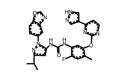 Cc1cc(F)c(NC(=O)Nc2cc(C(C)C)nn2-c2ccc3ocnc3c2)cc1Oc1nccc(-c2cn[nH]c2)n1